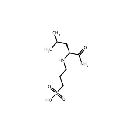 CC(C)C[C@H](NCCCS(=O)(=O)O)C(N)=O